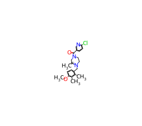 COc1ccc(CN2CCN(C(=O)c3ccc(Cl)nc3)C[C@@H]2C)c(C)c1C